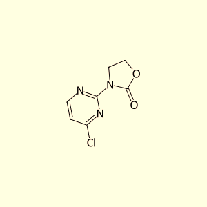 O=C1OCCN1c1nccc(Cl)n1